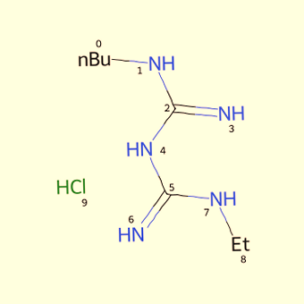 CCCCNC(=N)NC(=N)NCC.Cl